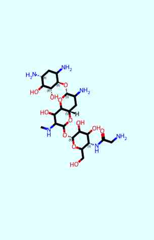 CNC1C(O[C@H]2OC(CO)[C@@H](NC(=O)CN)C(O)C2O)O[C@H]2CC(N)[C@@H](O[C@@H]3C(N)C[C@@H](N)C(O)[C@H]3O)OC2C1O